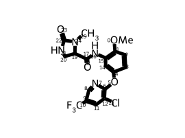 COc1ccc(Oc2ncc(C(F)(F)F)cc2Cl)cc1NC(=O)C1CNC(=O)N1C